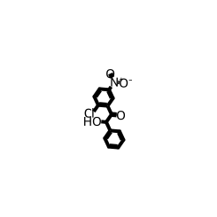 O=C(c1cc([N+](=O)[O-])ccc1Cl)C(O)c1ccccc1